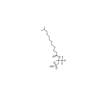 CC(C)CCCCCCCCCC(=O)OC(C)(CS(=O)(=O)O)C(F)(F)F